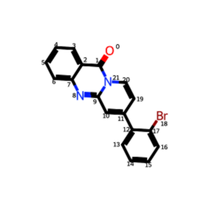 O=c1c2ccccc2nc2cc(-c3ccccc3Br)ccn12